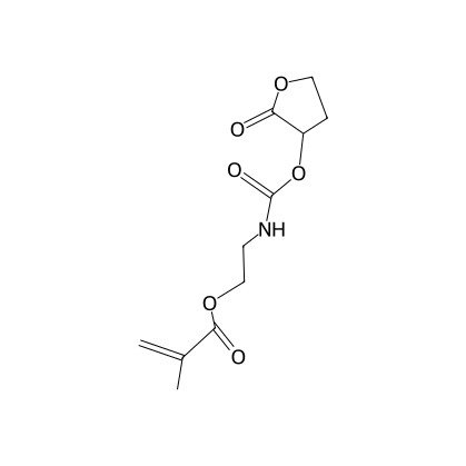 C=C(C)C(=O)OCCNC(=O)OC1CCOC1=O